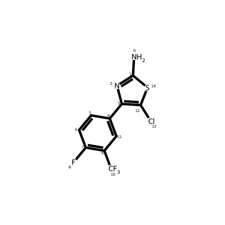 Nc1nc(-c2ccc(F)c(C(F)(F)F)c2)c(Cl)s1